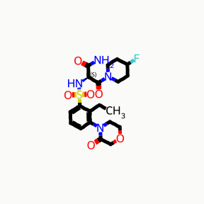 CCc1c(N2CCOCC2=O)cccc1S(=O)(=O)N[C@@H](C(N)=O)C(=O)N1CCC(F)CC1